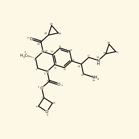 C[C@H]1CN(C(=O)OC2COC2)c2cc(C(CN)CNC3CC3)ccc2N1C(=O)C1CC1